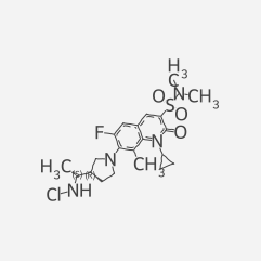 Cc1c(N2CC[C@@H]([C@H](C)NCl)C2)c(F)cc2cc(S(=O)(=O)N(C)C)c(=O)n(C3CC3)c12